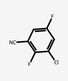 N#Cc1cc(F)cc(Cl)c1F